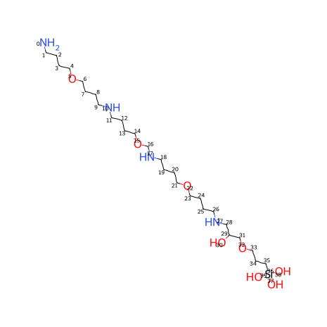 NCCCCOCCCCNCCCCOCNCCCCOCCCCNCC(O)COCCC[Si](O)(O)O